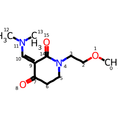 COCCN1CCC(=O)C(=CN(C)C)C1=O